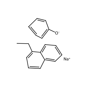 CCc1cccc2ccccc12.[Na+].[O-]c1ccccc1